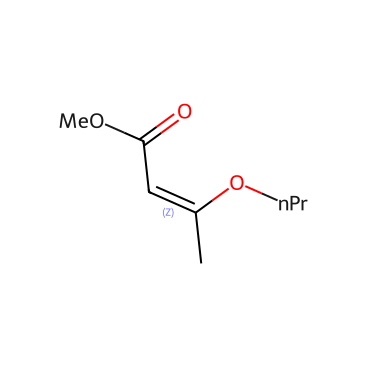 CCCO/C(C)=C\C(=O)OC